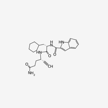 C#C[C@H](CCC(N)=O)NC(=O)[C@H](CC1CCCCC1)NC(=O)c1cc2ccccc2[nH]1